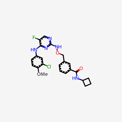 COc1ccc(Nc2nc(NOCc3cccc(C(=O)NC4CCC4)c3)ncc2F)cc1Cl